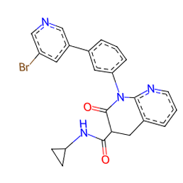 O=C(NC1CC1)C1Cc2cccnc2N(c2cccc(-c3cncc(Br)c3)c2)C1=O